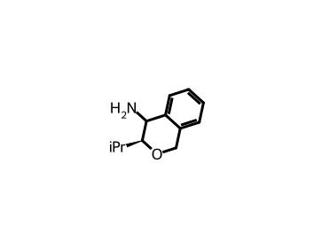 CC(C)[C@@H]1OCc2ccccc2C1N